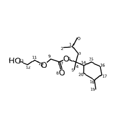 CC(C)CC(C)(OC(=O)COCCO)C1CCCC(C)C1